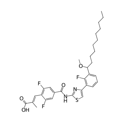 CCCCCCCCCCC(OC)c1cccc(-c2csc(NC(=O)c3cc(F)c(C=C(C)C(=O)O)c(F)c3)n2)c1F